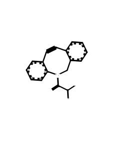 CCC(CC)C(=O)N1Cc2ccccc2C#Cc2ccccc21